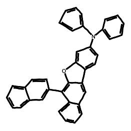 c1ccc(N(c2ccccc2)c2ccc3c(c2)oc2c(-c4ccc5ccccc5c4)c4ccccc4cc23)cc1